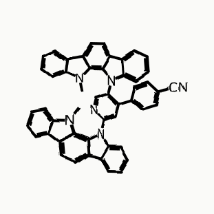 Cn1c2ccccc2c2ccc3c4ccccc4n(-c4cc(-c5ccc(C#N)cc5)c(-n5c6ccccc6c6ccc7c8ccccc8n(C)c7c65)cn4)c3c21